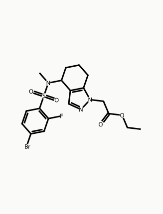 CCOC(=O)Cn1ncc2c1CCCC2N(C)S(=O)(=O)c1ccc(Br)cc1F